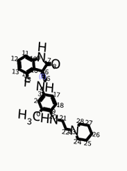 Cc1cc(N/C=C2/C(=O)Nc3cccc(F)c32)ccc1NCCN1CCCCC1